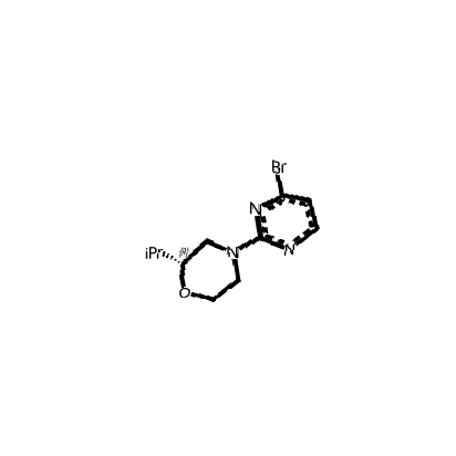 CC(C)[C@@H]1CN(c2nccc(Br)n2)CCO1